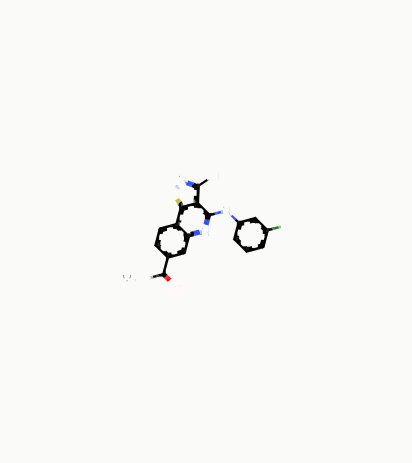 COC(=O)c1ccc2c(c1)nc(Nc1cccc(Cl)c1)c1c(C)nsc12